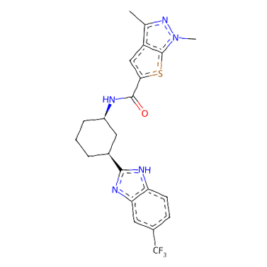 Cc1nn(C)c2sc(C(=O)N[C@@H]3CCC[C@H](c4nc5cc(C(F)(F)F)ccc5[nH]4)C3)cc12